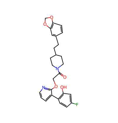 O=C(COc1ncccc1-c1ccc(F)cc1O)N1CCC(CCc2ccc3c(c2)OCO3)CC1